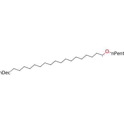 CCCCCCCCCCCCCCCCCCCCCCCCCCC[CH]OCCCCC